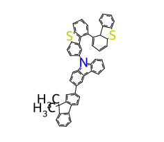 CC1(C)c2ccccc2-c2ccc(-c3ccc4c(c3)c3ccccc3n4-c3ccc4sc5cccc(C6=CC=CC7Sc8ccccc8C67)c5c4c3)cc21